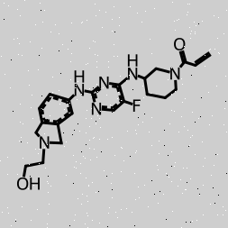 C=CC(=O)N1CCCC(Nc2nc(Nc3ccc4c(c3)CN(CCO)C4)ncc2F)C1